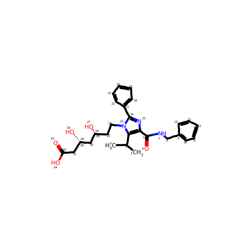 CC(C)c1c(C(=O)NCc2ccccc2)nc(-c2ccccc2)n1CC[C@@H](O)C[C@@H](O)CC(=O)O